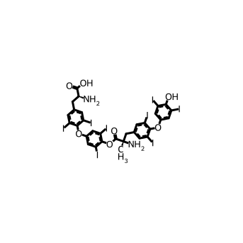 C[C@](N)(Cc1cc(I)c(Oc2cc(I)c(O)c(I)c2)c(I)c1)C(=O)Oc1c(I)cc(Oc2c(I)cc(C[C@H](N)C(=O)O)cc2I)cc1I